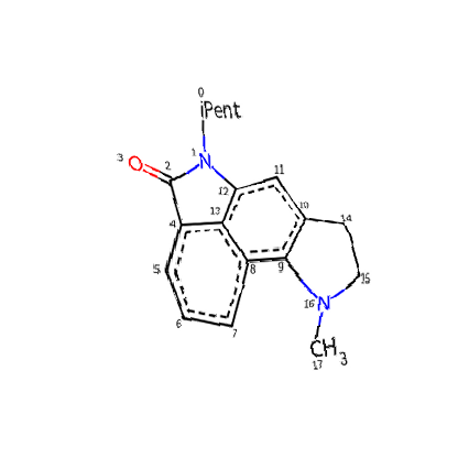 CCCC(C)N1C(=O)c2cccc3c4c(cc1c23)CCN4C